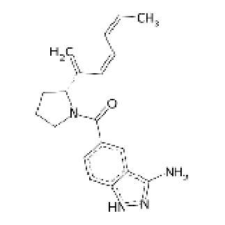 C=C(/C=C\C=C/C)[C@H]1CCCN1C(=O)c1ccc2[nH]nc(N)c2c1